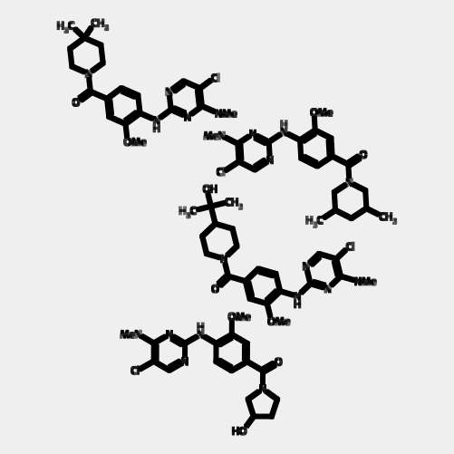 CNc1nc(Nc2ccc(C(=O)N3CC(C)CC(C)C3)cc2OC)ncc1Cl.CNc1nc(Nc2ccc(C(=O)N3CCC(C(C)(C)O)CC3)cc2OC)ncc1Cl.CNc1nc(Nc2ccc(C(=O)N3CCC(C)(C)CC3)cc2OC)ncc1Cl.CNc1nc(Nc2ccc(C(=O)N3CCC(O)C3)cc2OC)ncc1Cl